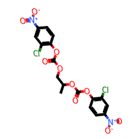 CC(COC(=O)Oc1ccc([N+](=O)[O-])cc1Cl)OC(=O)Oc1ccc([N+](=O)[O-])cc1Cl